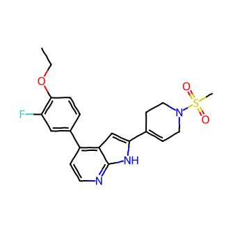 CCOc1ccc(-c2ccnc3[nH]c(C4=CCN(S(C)(=O)=O)CC4)cc23)cc1F